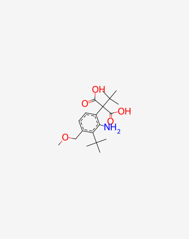 COCc1ccc(C(C(=O)O)(C(=O)O)C(C)(C)C)c(N)c1C(C)(C)C